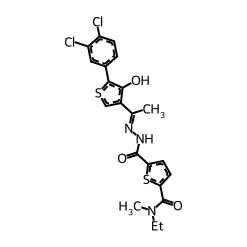 CCN(C)C(=O)c1ccc(C(=O)N/N=C(\C)c2csc(-c3ccc(Cl)c(Cl)c3)c2O)s1